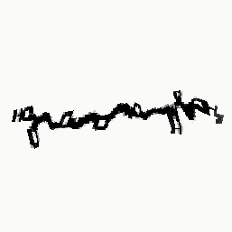 C=CC(=O)NCCOCCOCCOCCC(=O)O